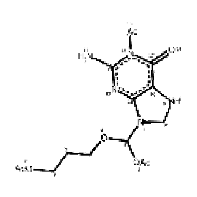 CC(=O)OCCCOC(OC(C)=O)N1CNc2c1nc(N)n(C(C)=O)c2=O